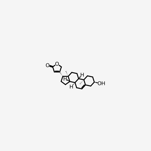 C[C@]12CC[C@H]3[C@@H](CC=C4C[C@H](O)CC[C@@]43C)[C@@H]1CC[C@@H]2C1=CC(=O)OC1